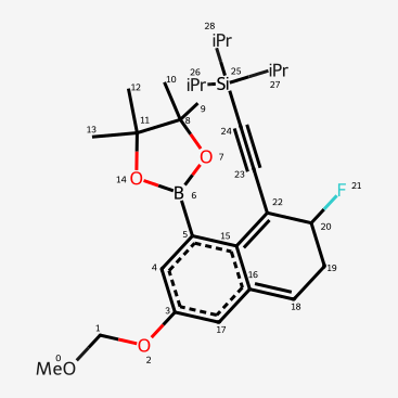 COCOc1cc(B2OC(C)(C)C(C)(C)O2)c2c(c1)=CCC(F)C=2C#C[Si](C(C)C)(C(C)C)C(C)C